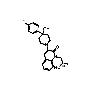 C[C@@H](O)CN1C(=O)C(N2CCC(O)(c3ccc(F)cc3)CC2)Cc2ccccc21